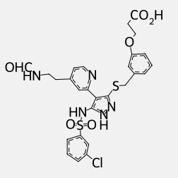 O=CNCCc1ccnc(-c2c(SCc3cccc(OCCC(=O)O)c3)n[nH]c2NS(=O)(=O)c2cccc(Cl)c2)c1